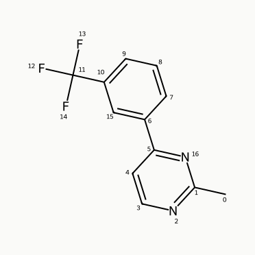 Cc1nccc(-c2cccc(C(F)(F)F)c2)n1